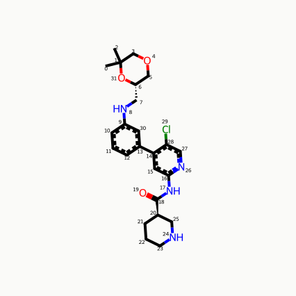 CC1(C)COC[C@H](CNc2cccc(-c3cc(NC(=O)[C@@H]4CCCNC4)ncc3Cl)c2)O1